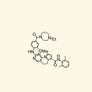 CCN1CCCN(C(=O)c2ccc(Nc3ncc4c(n3)-n3ccc(C(=O)Nc5c(C)cccc5C)c3CC4)c(OC)c2)CC1